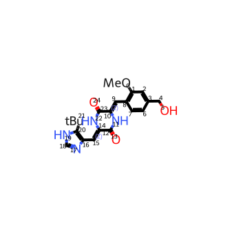 COc1cc(CO)ccc1/C=c1\[nH]c(=O)/c(=C/c2nc[nH]c2C(C)(C)C)[nH]c1=O